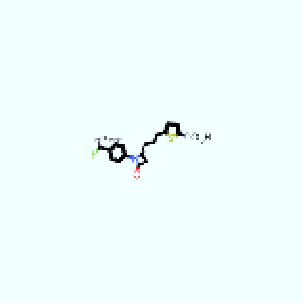 CCCCCC(F)c1ccc(N2C(=O)C[C@@H]2CCCc2ccc(C(=O)O)s2)cc1